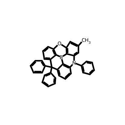 Cc1cc2c3c(c1)N(c1ccccc1)c1cccc4c1B3c1c(cccc1C4(c1ccccc1)c1ccccc1)O2